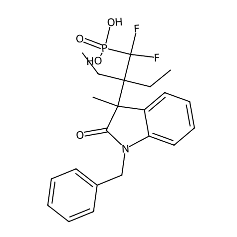 CCC(CC)(C1(C)C(=O)N(Cc2ccccc2)c2ccccc21)C(F)(F)P(=O)(O)O